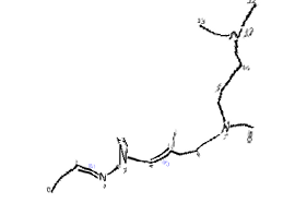 C/C=N/N/C=C/CN(C)CCN(C)C